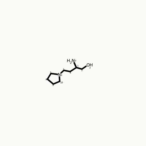 NC(CO)CCN1CCCC1